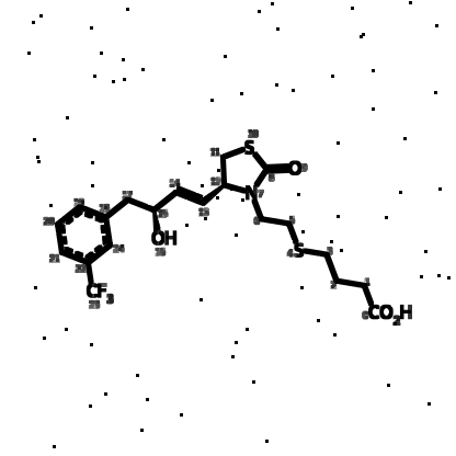 O=C(O)CCCSCCN1C(=O)SC[C@@H]1C=C[C@@H](O)Cc1cccc(C(F)(F)F)c1